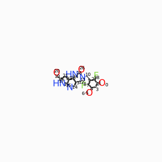 COc1cc(OC)c(F)c(CN2Cc3cnc4[nH]c(C=O)cc4c3NC2=O)c1F